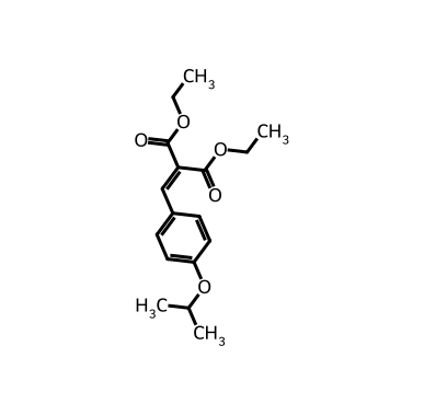 CCOC(=O)C(=Cc1ccc(OC(C)C)cc1)C(=O)OCC